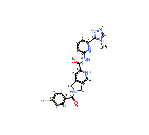 CC(C)n1cnnc1-c1cccc(NC(=O)c2cc3c(cn2)CN(C(=O)c2ccc(F)cc2)C3)n1